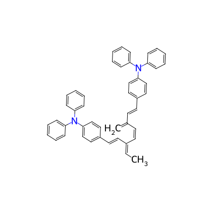 C=C(C=Cc1ccc(N(c2ccccc2)c2ccccc2)cc1)/C=C\C(C=Cc1ccc(N(c2ccccc2)c2ccccc2)cc1)=C/C